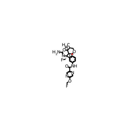 C[C@H]1COC[C@H]2[C@@H]1OC(N)=N[C@]2(CF)c1cc(NC(=O)c2cnc(OCF)cn2)ccc1F